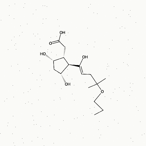 CCCOC(C)(C)CC=C(O)[C@@H]1[C@@H](CC(=O)O)[C@@H](O)C[C@H]1O